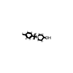 Cc1ccc(C(C)(C)N2CCC(O)CC2)cc1